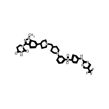 Cn1nc(N2CCC(=O)NC2=O)c2ccc(C3CCN(CC4CCN(c5cccc(S(=O)(=O)c6ccc(Nc7ncc(C(F)(F)F)cn7)cc6)c5)CC4)CC3)cc21